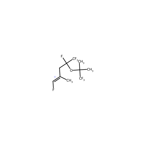 C/C(=C\F)CC(F)(OC(C)(C)C(F)(F)F)C(F)(F)F